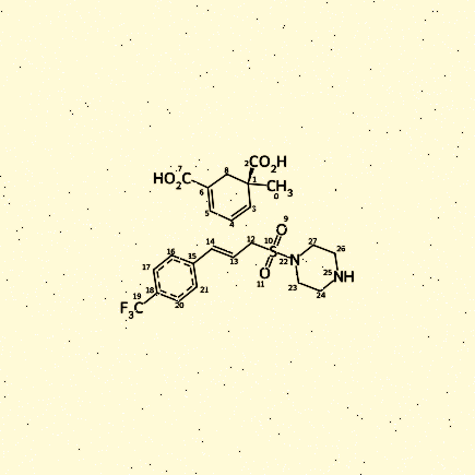 C[C@]1(C(=O)O)C=CC=C(C(=O)O)C1.O=S(=O)(CC=Cc1ccc(C(F)(F)F)cc1)N1CCNCC1